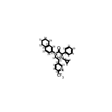 O=C(C(NC1CC1)c1ccccc1)N(CCc1ccc(C(F)(F)F)nc1)c1ccc2c(c1)CCCC2